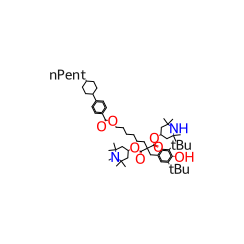 CCCCCC1CCC(c2ccc(C(=O)OCCCCCCC(Cc3cc(C(C)(C)C)c(O)c(C(C)(C)C)c3)(C(=O)OC3CC(C)(C)NC(C)(C)C3)C(=O)OC3CC(C)(C)N(C)C(C)(C)C3)cc2)CC1